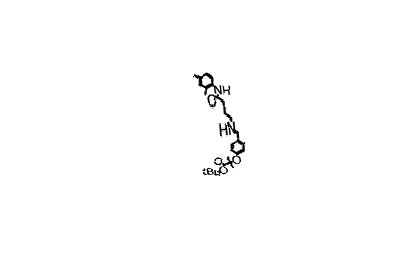 Cc1ccc(NC(=O)CCCNCc2ccc(OC(C)(C)C(=O)OC(C)(C)C)cc2)c(C)c1